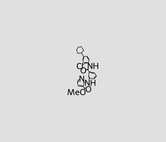 COC(=O)c1cccnc1Nc1cccc(C(=O)Nc2ccc(C3CCCCC3)cc2Cl)c1